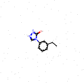 CCc1cccc(-n2cn[nH]c2=O)c1